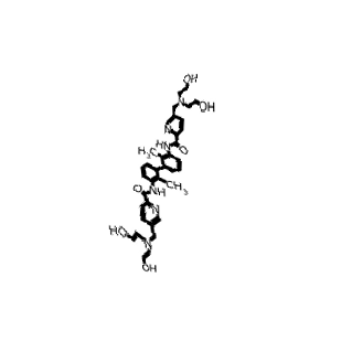 Cc1c(NC(=O)c2ccc(CN(CCO)CCO)cn2)cccc1-c1cccc(NC(=O)c2ccc(CN(CCO)CCO)cn2)c1C